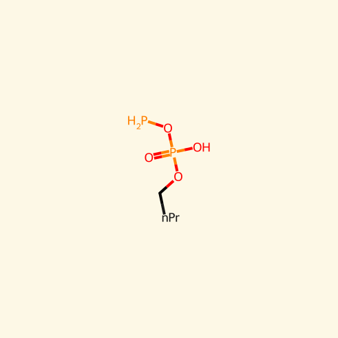 CCCCOP(=O)(O)OP